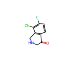 O=C1CNCc2c1ccc(F)c2Cl